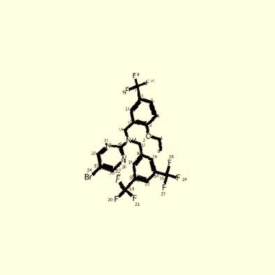 CCOc1ccc(C(F)(F)F)cc1CN(Cc1cc(C(F)(F)F)cc(C(F)(F)F)c1)c1ncc(Br)cn1